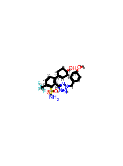 COc1ccc(Cn2nnc(-c3c(C4=CCC(O)CC4)ccc(C(F)(F)F)c3S(N)(=O)=O)n2)cc1